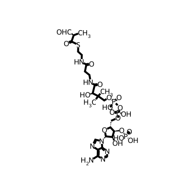 C[C@H](C=O)C(=O)SCCNC(=O)CCNC(=O)[C@H](O)C(C)(C)COP(=O)(O)OP(=O)(O)OC[C@H]1O[C@@H](n2cnc3c(N)ncnc32)[C@H](O)[C@@H]1OP(=O)(O)O